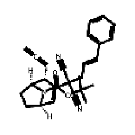 C=C=C[C@@H]1C(C(C#N)(C#N)C/C=C/c2ccccc2)=C[C@H]2CC[C@@H]1N2C(=O)OC(C)(C)C